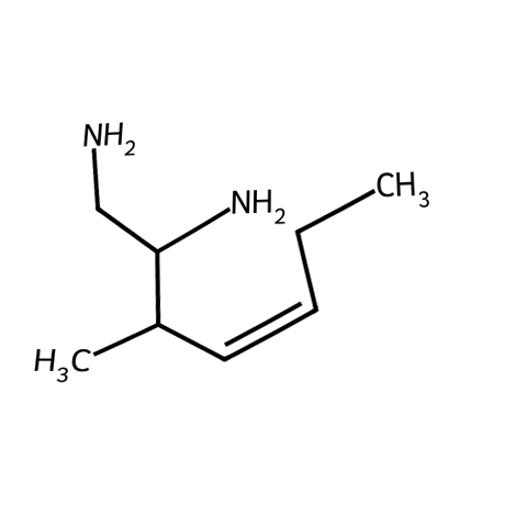 CC/C=C\C(C)C(N)CN